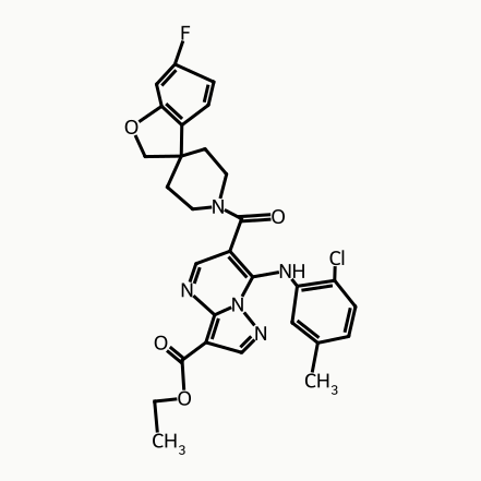 CCOC(=O)c1cnn2c(Nc3cc(C)ccc3Cl)c(C(=O)N3CCC4(CC3)COc3cc(F)ccc34)cnc12